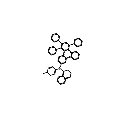 CC1C=CC(N(C2=c3ccccc3=CCC2)c2ccc3c(c2)c2ccccc2c2c(-c4ccccc4)cc(-c4ccccc4)c(-c4ccccc4)c32)=CC1